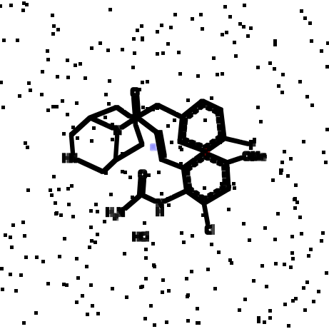 COc1cc(Cl)c(NC(N)=O)c(/C=C/C(=O)N2C3CNCC2CN(Cc2ccc(F)cc2)C3)c1.Cl